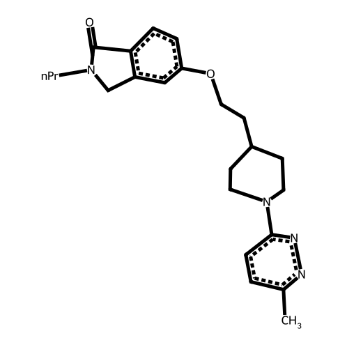 CCCN1Cc2cc(OCCC3CCN(c4ccc(C)nn4)CC3)ccc2C1=O